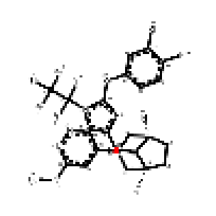 [2H]C([2H])([2H])C([2H])([2H])n1nc(NC2[C@@H]3CC[C@H]2CN(c2cnnc(OC)c2)C3)nc1Oc1ccc(F)c(Cl)c1